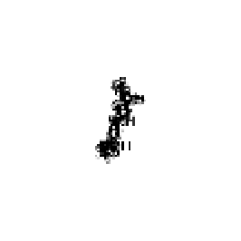 CC(C)(C)[C@H]1OC[C@@](C)(C(=O)N2CCN(C(=O)Nc3ccn(-c4cc(C=O)cc(OC(F)(F)F)c4)c(=O)n3)CC2)N1C(=O)O